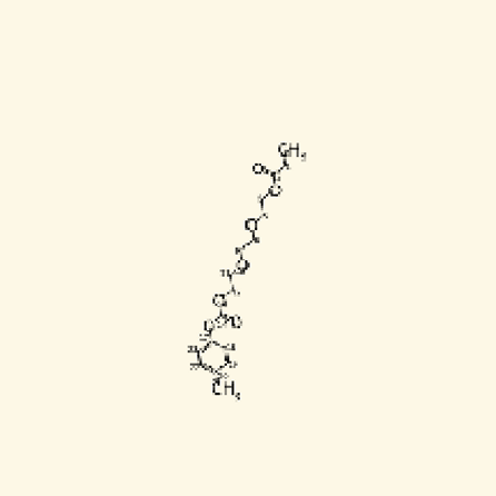 C=CC(=O)OCCOCCOCCOC(=O)Oc1ccc(C)cc1